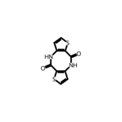 O=C1Nc2ccsc2C(=O)Nc2ccsc21